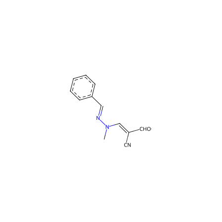 CN(C=C([C]=O)C#N)N=Cc1ccccc1